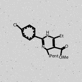 CCCC(C)C1N=C(c2ccc(Cl)cc2)NC(CC)=C1C(=O)OC